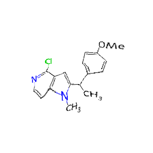 COc1ccc(C(C)c2cc3c(Cl)nccc3n2C)cc1